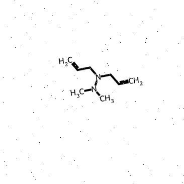 C=CCN(CC=C)N(C)C